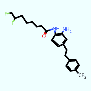 Nc1cc(CCc2ccc(C(F)(F)F)cc2)ccc1NC(=O)CCCCCC(F)CF